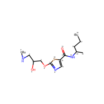 CCCCNCC(O)COc1ncc(C(=O)NC(C)CCC(C)CC)s1